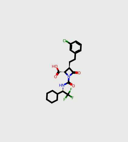 O=C(O)[C@@H]1[C@@H](CCc2cccc(Cl)c2)C(=O)N1C(=O)N[C@@H](C1CCCCC1)C(F)(F)F